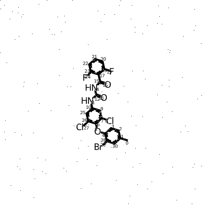 Cc1ccc(Oc2c(Cl)cc(NC(=O)NC(=O)c3c(F)cccc3F)cc2Cl)c(Br)c1